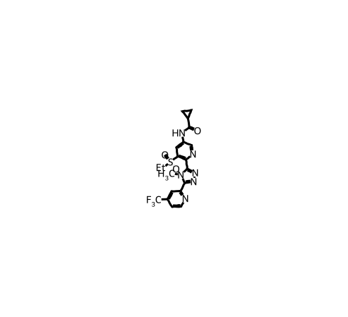 CCS(=O)(=O)c1cc(NC(=O)C2CC2)cnc1-c1nnc(-c2cc(C(F)(F)F)ccn2)n1C